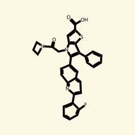 O=C(O)c1cc2c(s1)c(-c1ccccc1)c(-c1ccc3nc(-c4ccccc4F)ccc3c1)n2CC(=O)N1CCC1